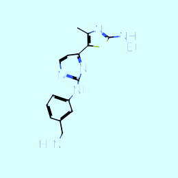 CCNc1nc(C)c(-c2ccnc(Nc3cccc(CN)c3)n2)s1